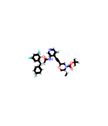 CC[C@@H]1COC(C#Cc2c(F)cncc2NC(=O)C[C@H](c2ccc(F)cc2)c2cc(F)cc(F)c2)CN1C(=O)OC(C)(C)C